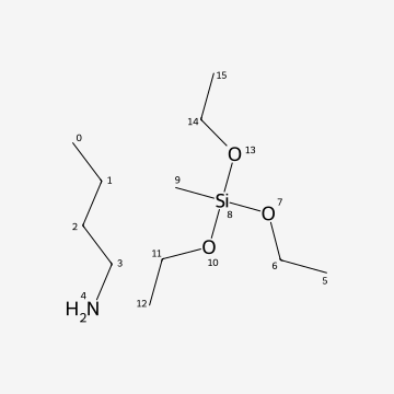 CCCCN.CCO[Si](C)(OCC)OCC